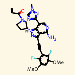 C=CC(=O)N1CC[C@H](n2nc(C#Cc3c(F)c(OC)cc(OC)c3F)c3c(N)ncc(-c4ncn(C)n4)c32)C1